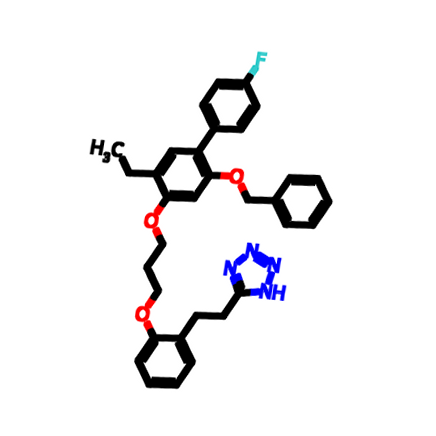 CCc1cc(-c2ccc(F)cc2)c(OCc2ccccc2)cc1OCCCOc1ccccc1CCc1nnn[nH]1